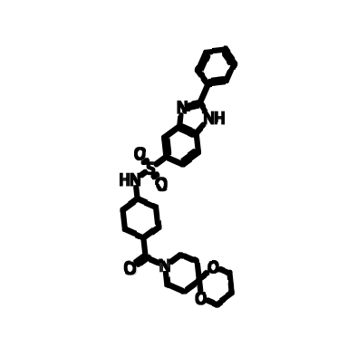 O=C(C1CCC(NS(=O)(=O)c2ccc3[nH]c(-c4ccccc4)nc3c2)CC1)N1CCC2(CC1)OCCCO2